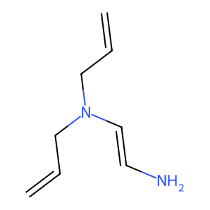 C=CCN(C=CN)CC=C